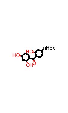 CCCCCCc1ccc(C(=O)c2ccc(O)cc2O)c(O)c1